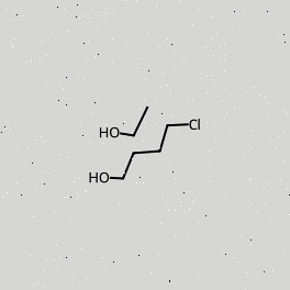 CCO.OCCCCCl